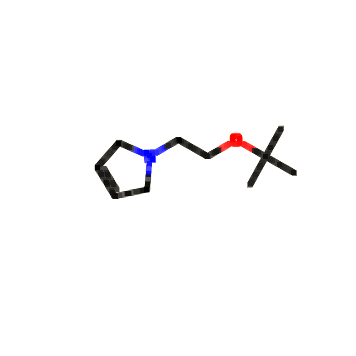 CC(C)(C)OCCN1CC=CC1